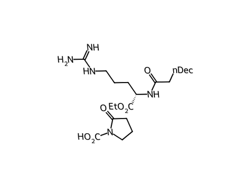 CCCCCCCCCCCC(=O)N[C@@H](CCCNC(=N)N)C(=O)OCC.O=C(O)N1CCCC1=O